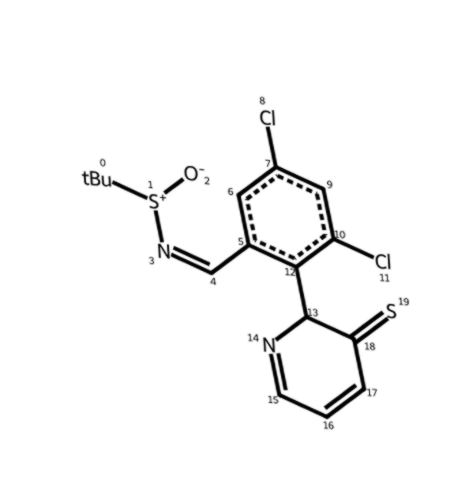 CC(C)(C)[S+]([O-])/N=C\c1cc(Cl)cc(Cl)c1C1N=CC=CC1=S